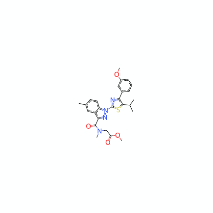 COC(=O)CN(C)C(=O)c1nn(-c2nc(-c3cccc(OC)c3)c(C(C)C)s2)c2ccc(C)cc12